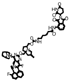 C#Cc1c(F)ccc2cccc(-c3ncc4c(N5CC6CCC(C5)N6)nc(OCC56CCC(COC(=O)NCCCCCC(=O)Nc7cccc8c7C(=O)N(C7CCC(=O)NC7=O)C8=O)N5CC(=C)C6)nc4c3F)c12